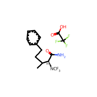 CC(CCc1ccccc1)[C@H](NC(F)(F)F)C(N)=O.O=C(O)C(F)(F)F